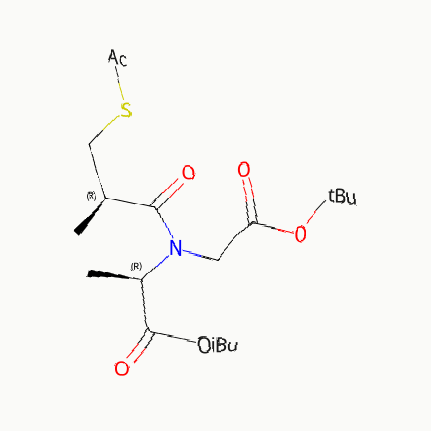 CC(=O)SC[C@H](C)C(=O)N(CC(=O)OC(C)(C)C)[C@H](C)C(=O)OCC(C)C